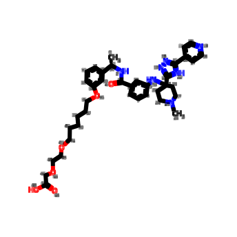 C[C@@H](NC(=O)c1cccc(NC2(c3nnc(-c4ccncc4)[nH]3)CCN(C)CC2)c1)c1cccc(OCCCCCCOCCOCC(=O)O)c1